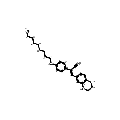 N#C/C(=C\c1ccc2c(c1)OCCO2)c1ccc(OCCCCCCCCO)cc1